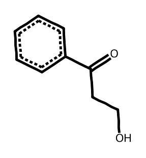 O=C(CCO)c1ccccc1